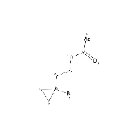 CC(=O)C(=O)OCCC1(Br)CC1